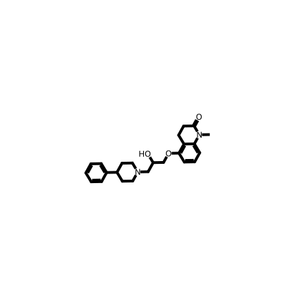 CN1C(=O)CCc2c(OCC(O)CN3CCC(c4ccccc4)CC3)cccc21